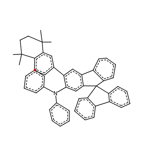 CC1(C)CCC(C)(C)c2cc(-c3cc4c(cc3N(c3ccccc3)c3ccccc3)C3(c5ccccc5-c5ccccc53)c3ccccc3-4)ccc21